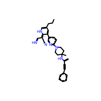 C=C(C#Cc1ccccc1)NC1(C)CCN(c2ccc(C3=CC(CCC)=CN/C3=C(/C#N)C=N)cn2)CC1